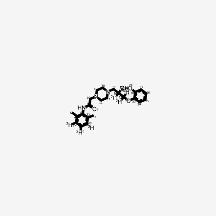 [2H]c1c([2H])c(C)c(NC(=O)CN2CCN(CC([2H])(O)C([2H])([2H])Oc3ccccc3OC)CC2)c(C)c1[2H]